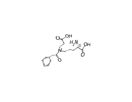 N[C@@H](CCCN(CCC(=O)O)C(=O)Cc1ccccc1)C(=O)O